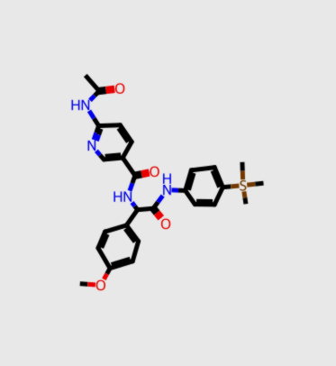 COc1ccc(C(NC(=O)c2ccc(NC(C)=O)nc2)C(=O)Nc2ccc(S(C)(C)C)cc2)cc1